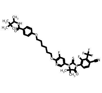 CC(NC(=O)c1ccc(OCCCCCCOc2ncc(N3C(=S)N(c4ccc(C#N)c(C(F)(F)F)c4F)C(=O)C3(C)C)cc2F)cc1)C(C)(C)C